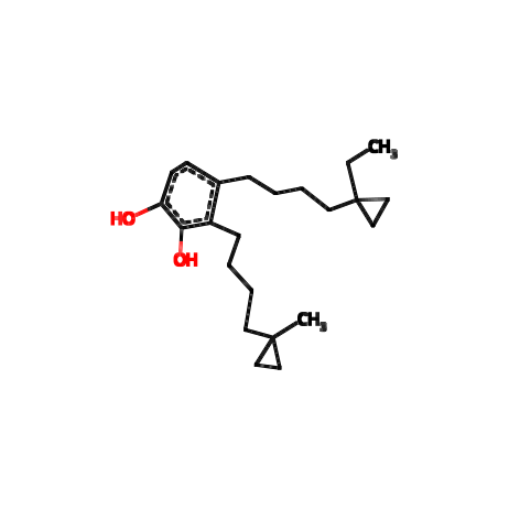 CCC1(CCCCc2ccc(O)c(O)c2CCCCC2(C)CC2)CC1